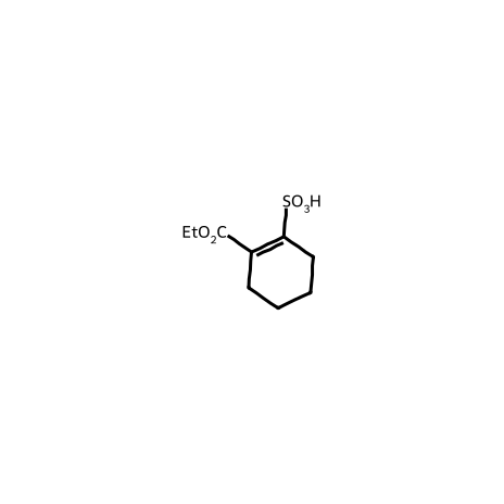 CCOC(=O)C1=C(S(=O)(=O)O)CCCC1